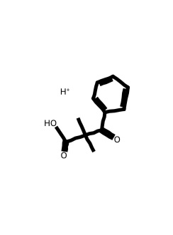 CC(C)(C(=O)O)C(=O)c1ccccc1.[H+]